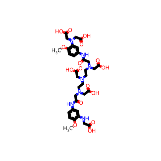 COc1ccc(NC(=O)CN(CCN(CCN(CC(=O)O)CC(=O)Nc2ccc(OC)c(N(CC(=O)O)CC(=O)O)c2)CC(=O)O)CC(=O)O)cc1NCC(=O)O